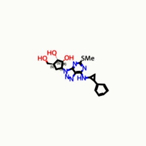 CSc1nc(NC2CC2c2ccccc2)c2nnn([C@H]3C[C@@H](CO)[C@H](O)[C@@H]3O)c2n1